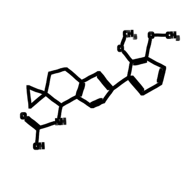 COc1cccc(-c2ccc3c(c2)CCC2(CC2)C3NC(=O)O)c1OC